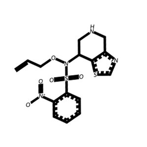 C=CCON(C1CNCc2ncsc21)S(=O)(=O)c1ccccc1[N+](=O)[O-]